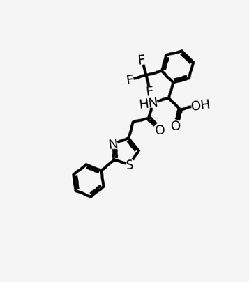 O=C(Cc1csc(-c2ccccc2)n1)NC(C(=O)O)c1ccccc1C(F)(F)F